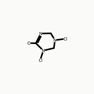 [O]C1=NCN(Cl)CN1Cl